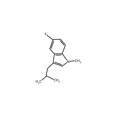 CC(C)Cc1cn(C)c2ccc(F)cc12